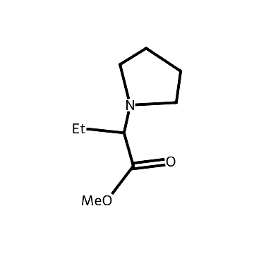 CCC(C(=O)OC)N1CCCC1